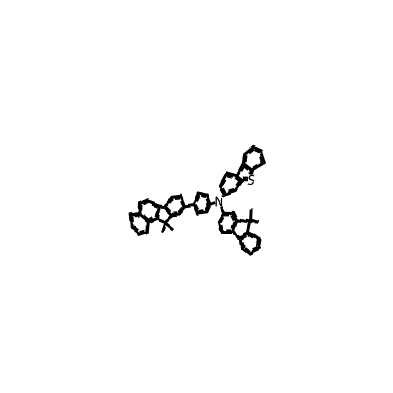 CC1(C)c2ccccc2-c2ccc(N(c3ccc(-c4ccc5c(c4)C(C)(C)c4c-5ccc5ccccc45)cc3)c3ccc4c(c3)sc3ccccc34)cc21